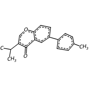 Cc1ccc(-c2ccc3occ(C(C)C)c(=O)c3c2)cc1